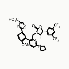 COc1ccc(-c2nc(C(=O)O)cs2)cc1-c1ccc(N2CCC2)nc1CN1C(=O)O[C@H](c2cc(C(F)(F)F)cc(C(F)(F)F)c2)[C@@H]1C